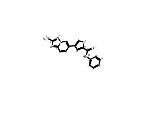 Nc1nc2ccc(-c3csc(C(=O)Nc4ccccc4)c3)cn2n1